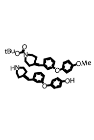 COc1ccc(Oc2cccc(C=C3CCN(C(=O)OC(C)(C)C)CC3)c2)cc1.Oc1ccc(Oc2cccc(C=C3CCNCC3)c2)cc1